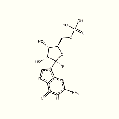 Nc1nc2c(ncn2[C@]2(F)O[C@H](COP(=O)(O)O)[C@@H](O)[C@H]2O)c(=O)[nH]1